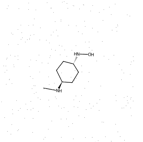 CN[C@H]1CC[C@H](NO)CC1